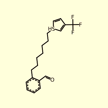 O=Cc1ccccc1CCCCCCC[SH]1C=CC(C(F)(F)F)=C1